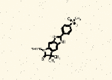 CCCCCN1C(=O)C(C)(C)c2cc3c(cc21)NC(c1ccc(S(C)(=O)=O)cc1)N3